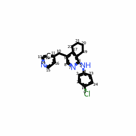 Clc1ccc(Nc2ncc(Cc3ccncc3)c3c2CCCC3)cc1